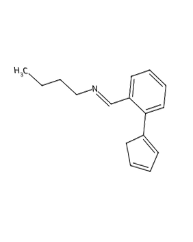 CCCC/N=C/c1ccccc1C1=CC=CC1